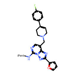 CCCC(C)Nc1ncc(CN2CC=C(c3ccc(F)cc3)CC2)c2nc(-c3ccco3)nn12